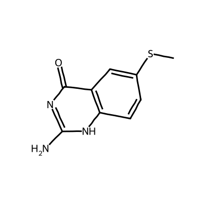 CSc1ccc2[nH]c(N)nc(=O)c2c1